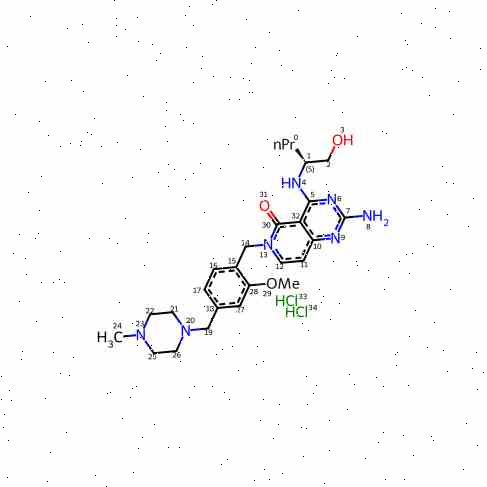 CCC[C@@H](CO)Nc1nc(N)nc2ccn(Cc3ccc(CN4CCN(C)CC4)cc3OC)c(=O)c12.Cl.Cl